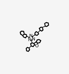 c1ccc(-c2ccc(-c3ccc(-c4nc(-c5ccc6ccccc6c5)nc(-c5cc(-c6ccccc6)cc6oc7ccccc7c56)n4)cc3)cc2)cc1